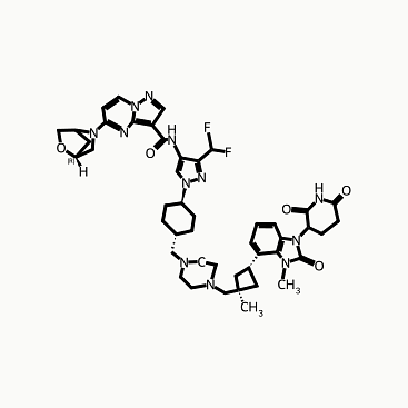 Cn1c(=O)n(C2CCC(=O)NC2=O)c2cccc([C@H]3C[C@](C)(CN4CCN(C[C@H]5CC[C@H](n6cc(NC(=O)c7cnn8ccc(N9C[C@H]%10CC9CO%10)nc78)c(C(F)F)n6)CC5)CC4)C3)c21